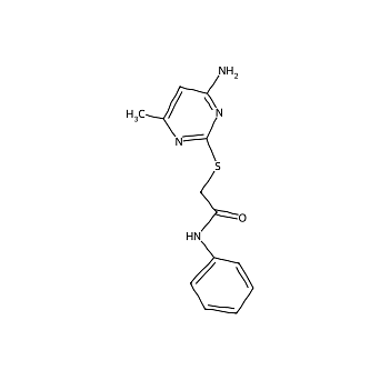 Cc1cc(N)nc(SCC(=O)Nc2ccccc2)n1